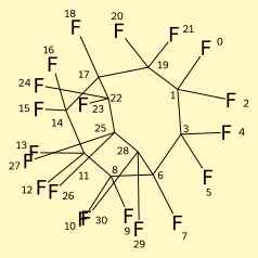 FC1(F)C(F)(F)C2(F)C(F)(F)C(F)(F)C(F)(F)C(F)(C1(F)F)C(F)(F)C(F)(F)C2(F)F